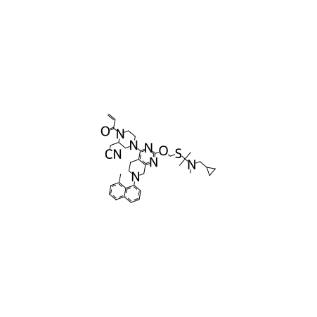 C=CC(=O)N1CCN(c2nc(OCSC(C)(C)N(C)CC3CC3)nc3c2CCN(c2cccc4cccc(C)c24)C3)CC1CC#N